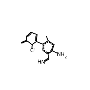 C=C1C=CC=C(c2cc(C=N)c(N)cc2C)C1Cl